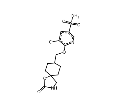 NS(=O)(=O)c1cnc(OCC2CCC3(CC2)CNC(=O)O3)c(Cl)c1